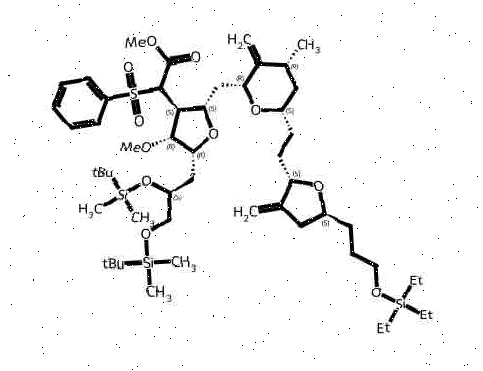 C=C1C[C@H](CCCO[Si](CC)(CC)CC)O[C@H]1CC[C@H]1C[C@@H](C)C(=C)[C@@H](C[C@@H]2O[C@H](C[C@@H](CO[Si](C)(C)C(C)(C)C)O[Si](C)(C)C(C)(C)C)[C@H](OC)[C@H]2C(C(=O)OC)S(=O)(=O)c2ccccc2)O1